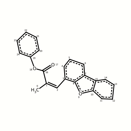 CC(=Cc1cccc2c1oc1ccccc12)C(=O)Oc1ccccc1